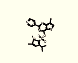 CC1=CC(C(C)C)=C(S(=O)(=O)Oc2nc(-c3ccncc3)nc3c(C)csc23)[C@@H]1C